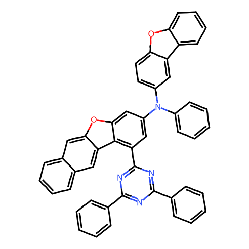 c1ccc(-c2nc(-c3ccccc3)nc(-c3cc(N(c4ccccc4)c4ccc5oc6ccccc6c5c4)cc4oc5cc6ccccc6cc5c34)n2)cc1